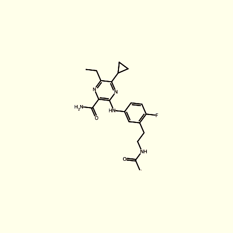 [CH2]C(=O)NCCc1cc(Nc2nc(C3CC3)c(CC)nc2C(N)=O)ccc1F